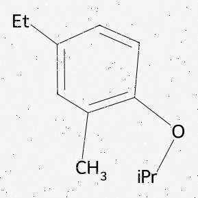 CCc1ccc(OC(C)C)c(C)c1